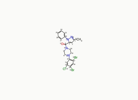 Cc1cc(C(=O)N2CCN(c3cc(Cl)c(Br)cc3Br)CC2)n(-c2ccccc2)n1